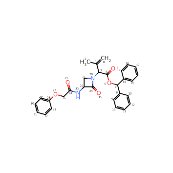 C=C(C)C(C(=O)OC(c1ccccc1)c1ccccc1)N1CC(NC(=O)COc2ccccc2)C1=O